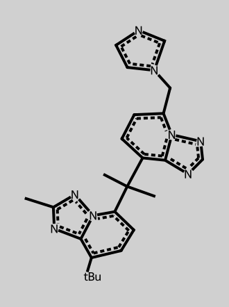 Cc1nc2c(C(C)(C)C)ccc(C(C)(C)c3ccc(Cn4ccnc4)n4ncnc34)n2n1